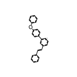 [c]1ccc(C=Cc2ccccc2)cc1-c1ccc(Oc2ccccc2)cc1